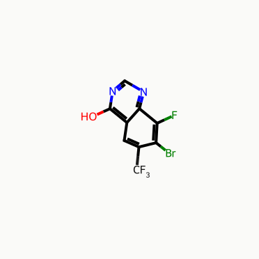 Oc1ncnc2c(F)c(Br)c(C(F)(F)F)cc12